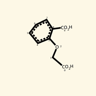 O=C(O)COc1cc[c]cc1C(=O)O